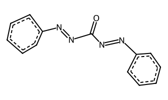 O=C(/N=N/c1ccccc1)/N=N/c1ccccc1